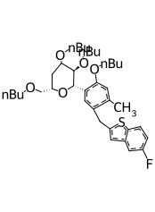 CCCCOC[C@@H]1C[C@H](OCCCC)[C@@H](OCCCC)[C@H](c2cc(Cc3cc4cc(F)ccc4s3)c(C)cc2OCCCC)O1